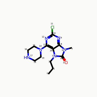 CCCn1c(=O)n(C)c2nc(Cl)nc(N3CCNCC3)c21